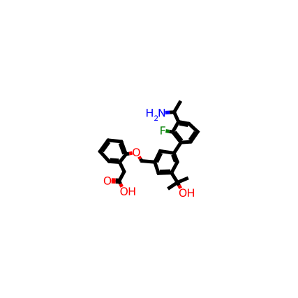 CC(N)c1cccc(-c2cc(COc3ccccc3CC(=O)O)cc(C(C)(C)O)c2)c1F